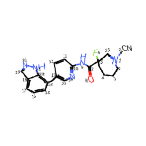 N#CN1CCCC(F)(C(=O)Nc2ccc(-c3cccc4cn[nH]c34)cn2)C1